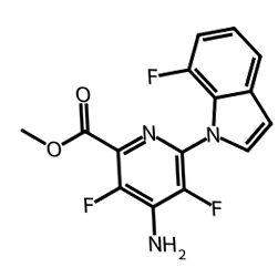 COC(=O)c1nc(-n2ccc3cccc(F)c32)c(F)c(N)c1F